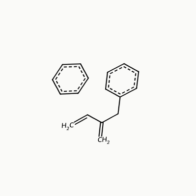 C=CC(=C)Cc1ccccc1.c1ccccc1